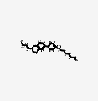 CCCCCCCOc1ccc(-c2ccc3c(c2)CCC(CCCC)C3)cc1